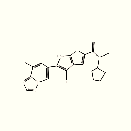 Cc1cc(-c2[nH]c3sc(C(=O)N(C)C4CCCC4)cc3c2C(C)C)cn2ncnc12